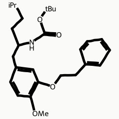 COc1ccc(CC(CCC(C)C)NC(=O)OC(C)(C)C)cc1OCCc1ccccc1